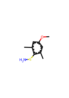 COc1cc(C)c(SN)c(C)c1